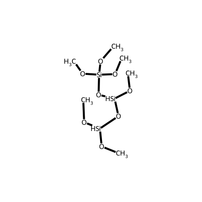 CO[SiH](OC)O[SiH](OC)O[Si](OC)(OC)OC